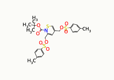 Cc1ccc(S(=O)(=O)OCC2=CSN(C(=O)OC(C)(C)C)C(COS(=O)(=O)c3ccc(C)cc3)=C2)cc1